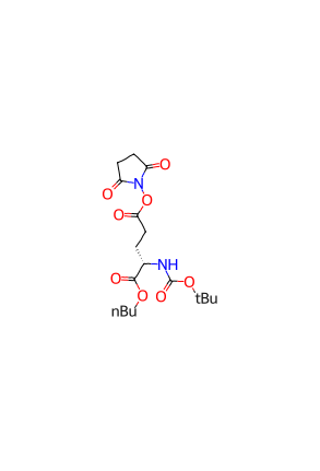 CCCCOC(=O)[C@H](CCC(=O)ON1C(=O)CCC1=O)NC(=O)OC(C)(C)C